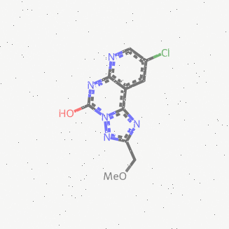 COCc1nc2c3cc(Cl)cnc3nc(O)n2n1